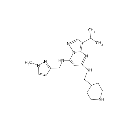 CC(C)c1cnn2c(NCc3ccn(C)n3)cc(NCC3CCNCC3)nc12